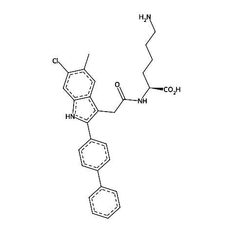 Cc1cc2c(CC(=O)N[C@@H](CCCCN)C(=O)O)c(-c3ccc(-c4ccccc4)cc3)[nH]c2cc1Cl